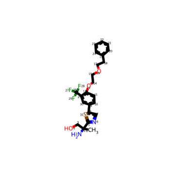 CC(N)(CO)c1ncc(-c2ccc(OCCOCCc3ccccc3)c(C(F)(F)F)c2)s1